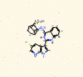 O=C(O)C1C2CCC(CC2)C1Nc1nc(-c2c[nH]c3ncc(F)cc23)nc2ccccc12